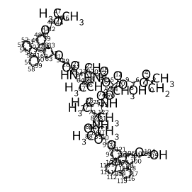 C=C(C)C(=O)OCC(O)COC(=O)C(C)(COC(=O)NCC1(C)CC(NC(=O)OCCOc2ccc(C3(c4ccc(OCCOC(C)C)cc4)c4ccccc4-c4ccccc43)cc2)CC(C)(C)C1)COC(=O)NC1CC(C)(C)CC(C)(CNC(=O)C(C)(C)OCCOc2ccc(C3(c4ccc(OCCO)cc4)c4ccccc4-c4ccccc43)cc2)C1